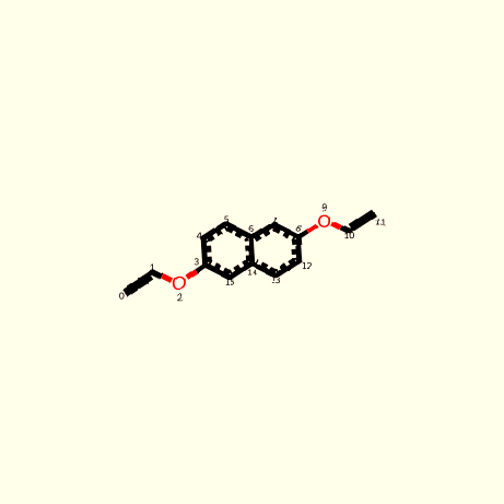 C=COc1ccc2cc(OC=C)ccc2c1